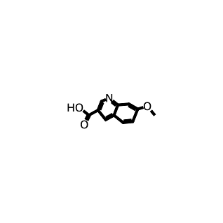 COc1ccc2cc(C(=O)O)cnc2c1